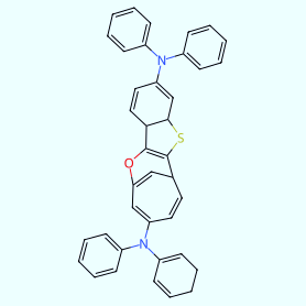 C1=CC(N(C2=CC3=CC(C=C2)C2=C(O3)C3C=CC(N(c4ccccc4)c4ccccc4)=CC3S2)c2ccccc2)=CCC1